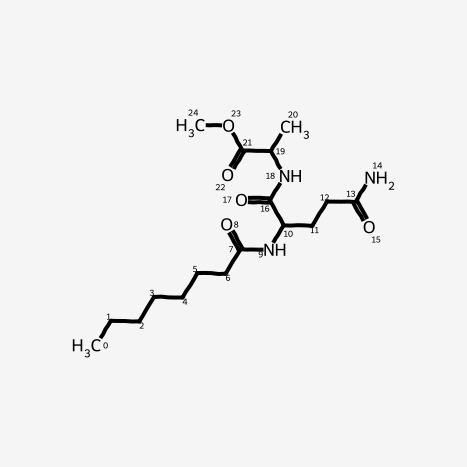 CCCCCCCC(=O)NC(CCC(N)=O)C(=O)NC(C)C(=O)OC